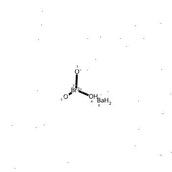 [BaH2].[O-][Br+2]([O-])O